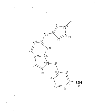 Cn1cc(Nc2ncc3cnn(Cc4cccc(O)c4)c3n2)cn1